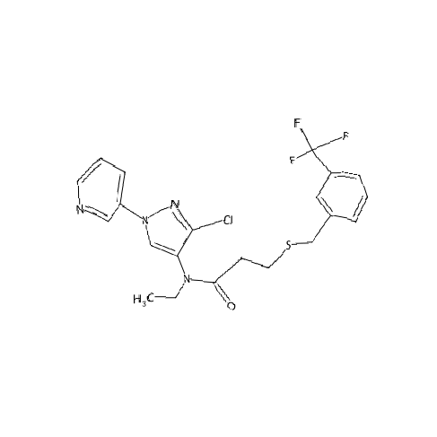 CCN(C(=O)CCSCc1cccc(C(F)(F)F)c1)c1cn(-c2cccnc2)nc1Cl